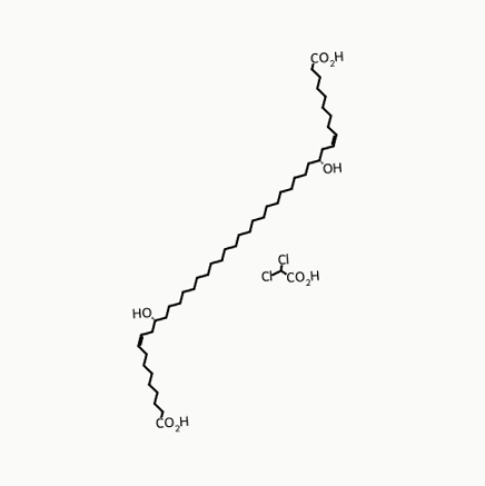 O=C(O)C(Cl)Cl.O=C(O)CCCCCCC/C=C\C[C@H](O)CCCCCCCCCCCCCCCCCCCCCC[C@@H](O)C/C=C\CCCCCCCC(=O)O